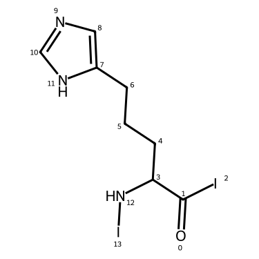 O=C(I)C(CCCc1cnc[nH]1)NI